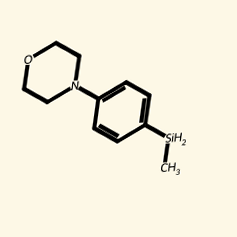 C[SiH2]c1ccc(N2CCOCC2)cc1